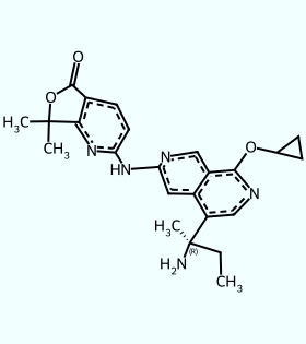 CC[C@@](C)(N)c1cnc(OC2CC2)c2cnc(Nc3ccc4c(n3)C(C)(C)OC4=O)cc12